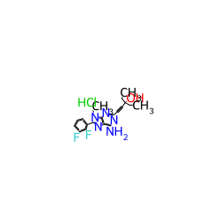 CCn1c(-c2cccc(F)c2F)nc2c(N)nc(C#CC(O)(CC)CC)nc21.Cl